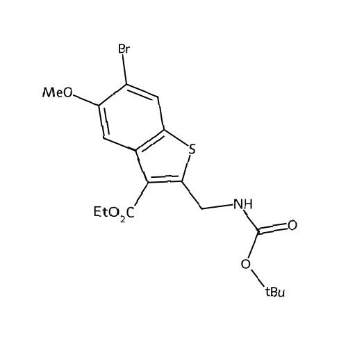 CCOC(=O)c1c(CNC(=O)OC(C)(C)C)sc2cc(Br)c(OC)cc12